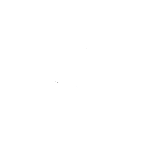 Cc1nnc(N[C@H](C)c2cccc3c(F)coc23)c2cc(N3C4CCC3COC4)c(C(F)(F)F)nc12